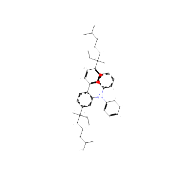 CCC(C)(CCCC(C)C)C1=C=C=C(c2ccc(C(C)(CC)CCCC(C)C)cc2N(C2=CC=CCC2)c2ccccc2)C=C1